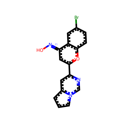 O/N=c1\cc(-c2cc3cccn3cn2)oc2ccc(Br)cc12